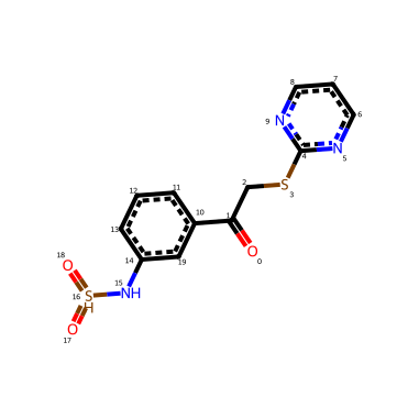 O=C(CSc1ncccn1)c1cccc(N[SH](=O)=O)c1